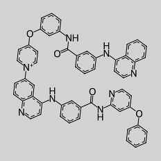 O=C(Nc1cccc(Oc2cc[n+](-c3ccc4nccc(Nc5cccc(C(=O)Nc6cc(Oc7ccccc7)ccn6)c5)c4c3)cc2)c1)c1cccc(Nc2ccnc3ccccc23)c1